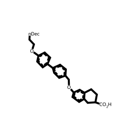 CCCCCCCCCCCCOc1ccc(-c2ccc(COc3ccc4c(c3)CCC(C(=O)O)C4)cc2)cc1